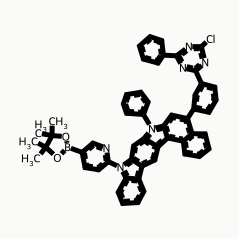 CC1(C)OB(c2ccc(-n3c4ccccc4c4cc5c6c7ccccc7c(-c7cccc(-c8nc(Cl)nc(-c9ccccc9)n8)c7)cc6n(-c6ccccc6)c5cc43)nc2)OC1(C)C